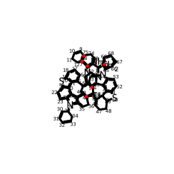 C=C(/N=C(\N=C(/N)C1=CC=CCC1)C1=C(c2cccc3sc4ccc5c(c6c(n5C5C=CC=CC5)=CCC(C)C=6)c4c23)C=CC(C2=CCCC3Sc4ccc5c(c4C23)C2=CC=CCC2N5c2ccccc2)C1)C1=CCCC=C1